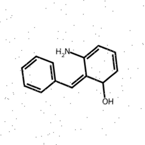 NC1=CC=CC(O)C1=Cc1ccccc1